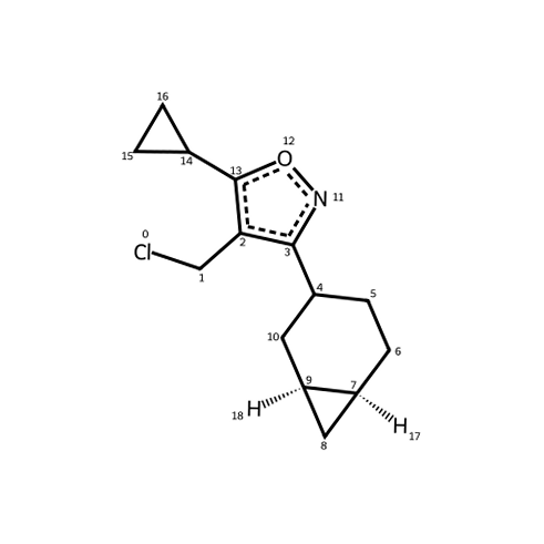 ClCc1c(C2CC[C@H]3C[C@H]3C2)noc1C1CC1